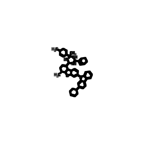 CC1C=CC(C2(C)NC(C3=CC4CCC3C4)NC(C3=CC[C@H](C)C4OC5C=C(n6c7ccccc7c7ccc(C8CC=CCC8)cc76)C=CC5C34)N2)=CC1